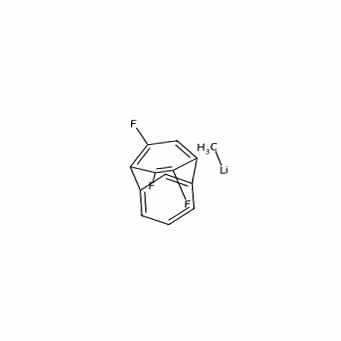 Fc1cc2c(F)c(F)c1-c1cccc-2c1.[Li][CH3]